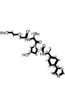 COCCOCC(=O)N[C@H](C(=O)N1C[C@H](O)C[C@H]1C(=O)N[C@@H](C)c1ccc(-c2scnc2C)cc1)C(C)(C)C